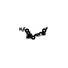 Cc1ccc2sc(S(=O)(=O)Nc3cccc(CNCCCc4noc5cc(F)ccc45)c3)cc2c1